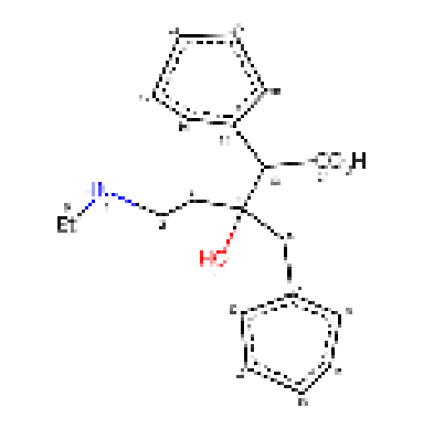 CCNCCC(O)(Cc1ccccc1)C(C(=O)O)c1ccccc1